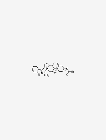 CCC(=O)O[C@H]1CC[C@@]2(C)C(=CCC3C2CC[C@]2(C)C(c4c5ccccc5nn4C)=CCC32)C1